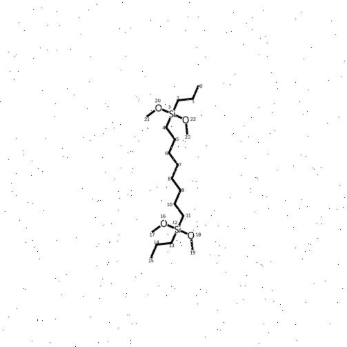 CCC[Si](CCCCCCCC[Si](CCC)(OC)OC)(OC)OC